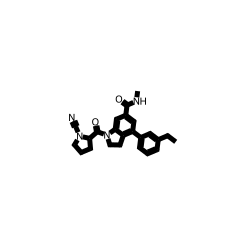 CCc1cccc(-c2cc(C(=O)NC)cc3c2CCN3C(=O)C2CCCN2C#N)c1